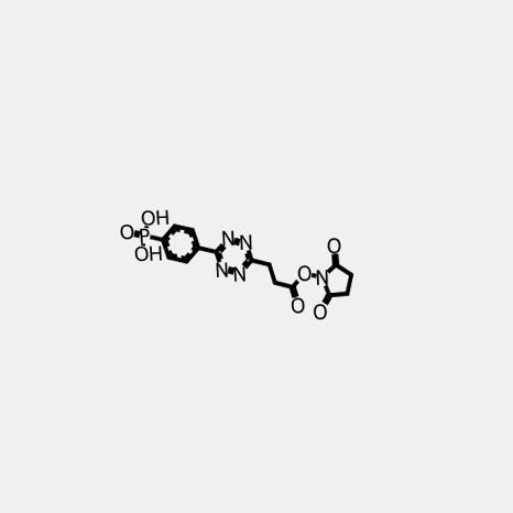 O=C(CCc1nnc(-c2ccc(P(=O)(O)O)cc2)nn1)ON1C(=O)CCC1=O